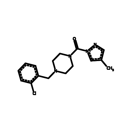 Cc1cnn(C(=O)N2CCN(Cc3ccccc3Cl)CC2)c1